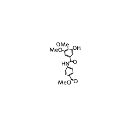 COC(=O)c1ccc(NC(=O)c2cc(O)c(OC)c(OC)c2)cc1